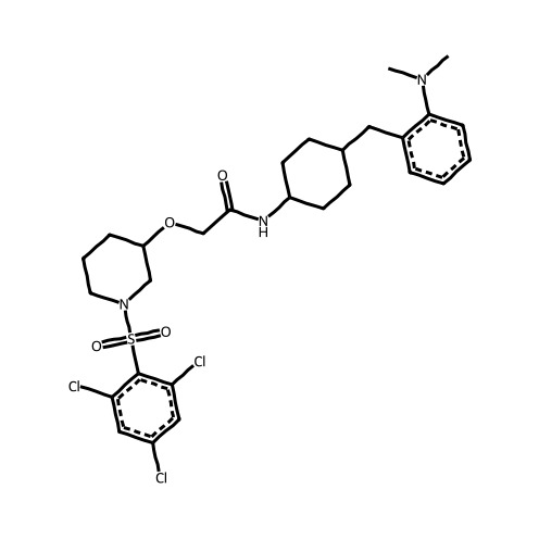 CN(C)c1ccccc1CC1CCC(NC(=O)COC2CCCN(S(=O)(=O)c3c(Cl)cc(Cl)cc3Cl)C2)CC1